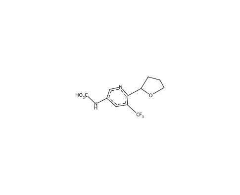 O=C(O)Nc1cnc(C2CCCO2)c(C(F)(F)F)c1